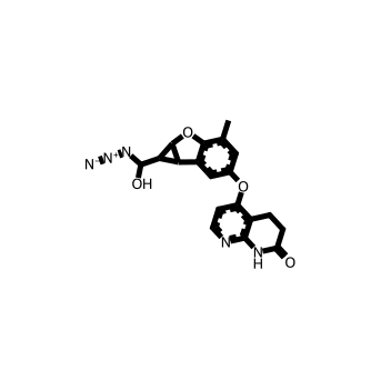 Cc1cc(Oc2ccnc3c2CCC(=O)N3)cc2c1OC1C2C1C(O)N=[N+]=[N-]